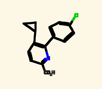 O=C(O)c1ccc(C2CC2)c(-c2ccc(Cl)cc2)n1